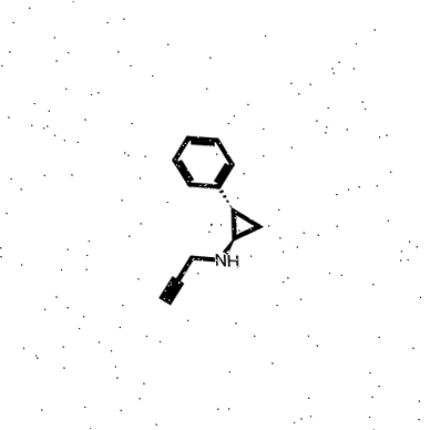 C#CCN[C@@H]1C[C@H]1c1ccccc1